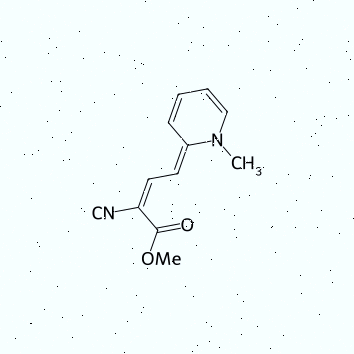 [C-]#[N+]C(=CC=C1C=CC=CN1C)C(=O)OC